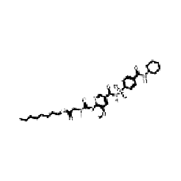 CCCCCCCCOC(=O)CNC(=O)Oc1ncc(C(=O)NS(=O)(=O)c2ccc(C(=O)NC3CCCCC3)cc2)cc1OC